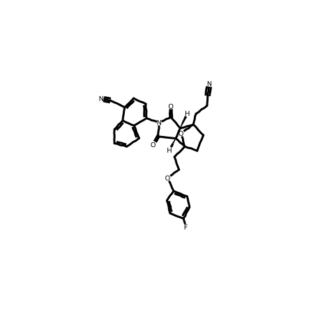 N#CCCC12CCC(CCOc3ccc(F)cc3)(O1)[C@@H]1C(=O)N(c3ccc(C#N)c4ccccc34)C(=O)[C@@H]12